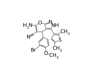 COc1ccc(C2C(C#N)=C(N)Oc3n[nH]c(-c4cc(C)sc4C)c32)cc1Br